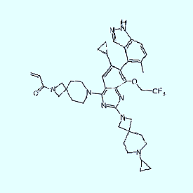 C=CC(=O)N1CC2(CCN(c3nc(N4CC5(CCN(C6CC6)CC5)C4)nc4c(OCC(F)(F)F)c(-c5c(C)ccc6[nH]ncc56)c(C5CC5)cc34)CC2)C1